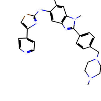 Cc1cc2c(cc1Nc1nc(-c3ccncc3)cs1)nc(-c1ccc(CN3CCN(C)CC3)cc1)n2C